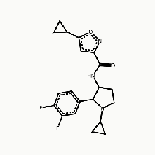 O=C(NC1CCN(C2CC2)C1c1ccc(F)c(F)c1)c1cc(C2CC2)on1